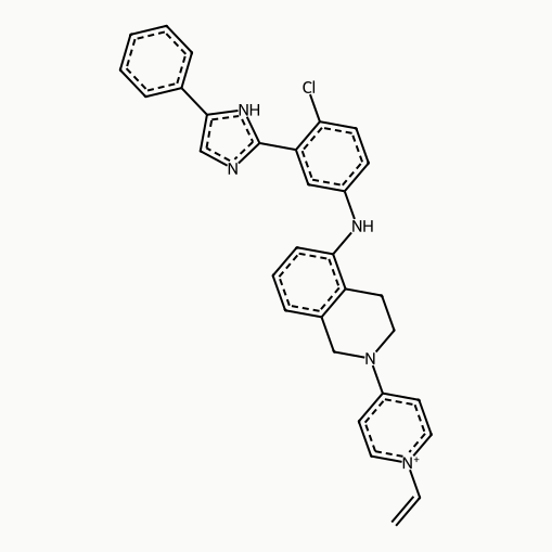 C=C[n+]1ccc(N2CCc3c(cccc3Nc3ccc(Cl)c(-c4ncc(-c5ccccc5)[nH]4)c3)C2)cc1